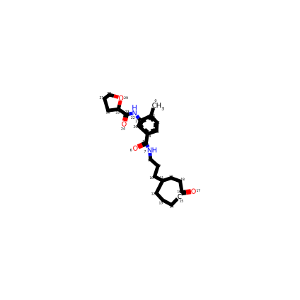 Cc1ccc(C(=O)NCCCC2CCCCC(=O)CC2)cc1NC(=O)C1CCCO1